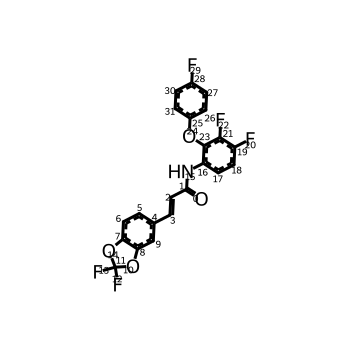 O=C(/C=C/c1ccc2c(c1)OC(F)(F)O2)Nc1ccc(F)c(F)c1Oc1ccc(F)cc1